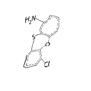 Nc1cccc2c1Sc1cccc(Cl)c1O2